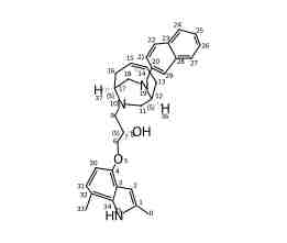 Cc1cc2c(OC[C@@H](O)CN3C[C@@H]4C/C=C\C[C@H]3CN4c3ccc4ccccc4c3)ccc(C)c2[nH]1